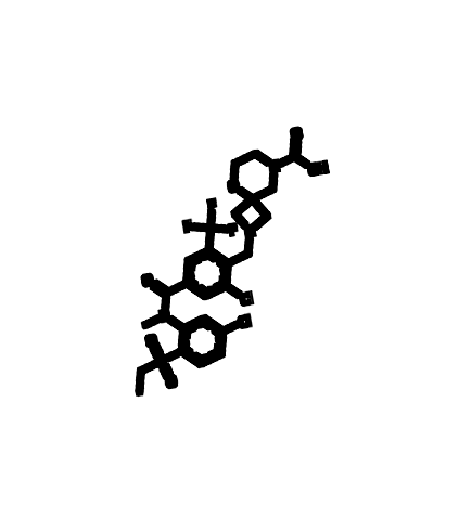 CCS(=O)(=O)c1ccc(Cl)cc1N(C)C(=O)c1cc(Cl)c(CN2CC3(C2)CN(C(=O)O)CCO3)c(C(F)(F)F)c1